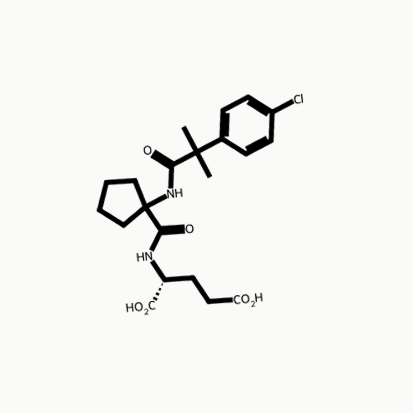 CC(C)(C(=O)NC1(C(=O)N[C@H](CCC(=O)O)C(=O)O)CCCC1)c1ccc(Cl)cc1